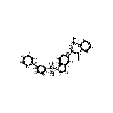 Nc1ccccc1NC(=O)c1ccc2c(ccn2S(=O)(=O)c2ccc(-c3ccccn3)s2)c1